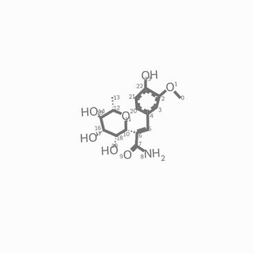 COc1cc(/C=C(/C(N)=O)[C@H]2O[C@@H](C)[C@H](O)[C@@H](O)[C@H]2O)ccc1O